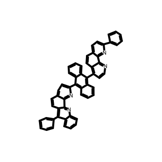 c1ccc(-c2ccc3ccc4c(-c5c6ccccc6c(-c6ccc7ccc8c(-c9ccccc9)c9ccccc9nc8c7n6)c6ccccc56)ccnc4c3n2)cc1